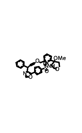 COC1(c2cccc(COC#CC(c3ccccc3)c3ncoc3-c3ccc(S(N)(=O)=O)cc3)n2)CCOCC1